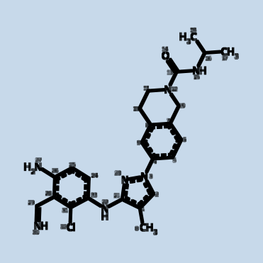 Cc1cn(-c2ccc3c(c2)CCN(C(=O)NC(C)C)C3)nc1Nc1ccc(N)c(C=N)c1Cl